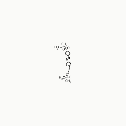 C=C(C)C(=O)OCCSc1ccc(N=Nc2ccc(S(=O)(=O)C[C@H](C)CC)cc2)cc1